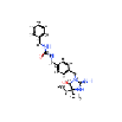 CC(C)CC1(C)NC(=N)N(Cc2ccc(CNC(=O)NCc3ccccc3)cc2)C1=O